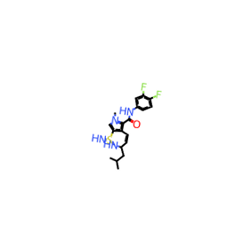 CC(C)CC1C=Cc2c(cn(C)c2C(=O)Nc2ccc(F)c(F)c2)S(=N)N1